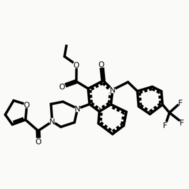 CCOC(=O)c1c(N2CCN(C(=O)C3=CCCO3)CC2)c2ccccc2n(Cc2ccc(C(F)(F)F)cc2)c1=O